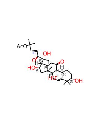 CC(=O)OC(C)(C)/C=C/C(=O)[C@@]1(O)C[C@]23CC(=O)[C@@]4(CO)[C@@H]5CC[C@H](O)C(C)(C)C5=CC[C@H]4[C@]2(C)C[C@@H](O)[C@@H]31